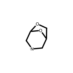 C1[N]CC2OCC1O2